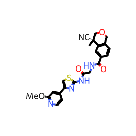 COc1cc(-c2csc(NC(=O)CNC(=O)c3ccc4c(c3)[C@](C)(C#N)COC4)n2)ccn1